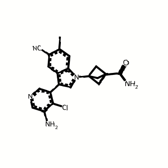 Cc1cc2c(cc1C#N)c(-c1cncc(N)c1Cl)cn2C12CC(C(N)=O)(C1)C2